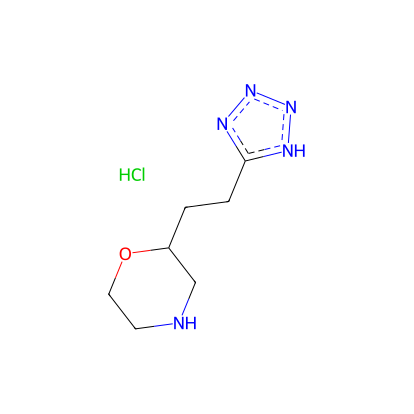 C1COC(CCc2nnn[nH]2)CN1.Cl